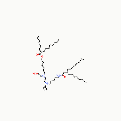 CCCCCCCCC(CCCCCCCC)CC(=O)NCCCCCN(CCN(CCO)CCCCCCOC(=O)C(CCCCCC)CCCCCCCC)C1CCC1